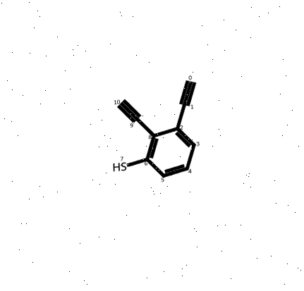 C#Cc1cccc(S)c1C#C